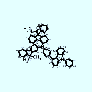 C=CC(=C)C1(c2ccccc2)c2ccccc2-c2c(N(c3ccc(-c4cccc5c4c4ccccc4n5-c4ccccc4)cc3)c3ccc4c(c3)C(C)(C)c3ccccc3-4)cccc21